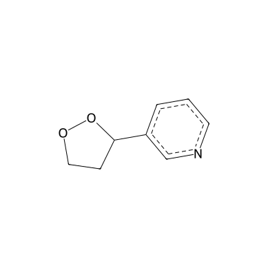 c1cncc(C2CCOO2)c1